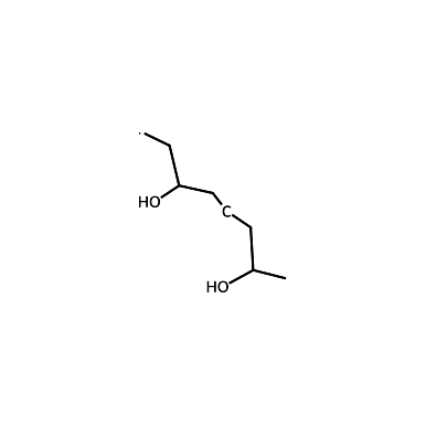 [CH2]CC(O)CCCC(C)O